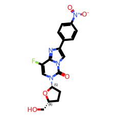 O=c1n([C@@H]2CC[C@H](CO)O2)cc(F)c2nc(-c3ccc([N+](=O)[O-])cc3)cn12